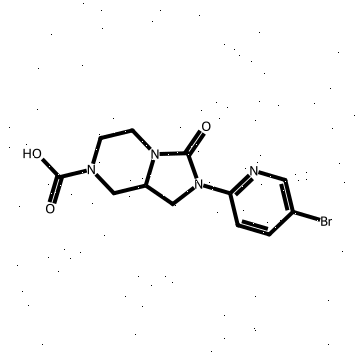 O=C(O)N1CCN2C(=O)N(c3ccc(Br)cn3)CC2C1